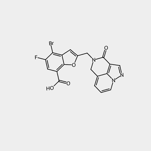 O=C(O)c1cc(F)c(Br)c2cc(CN3Cc4cccn5ncc(c45)C3=O)oc12